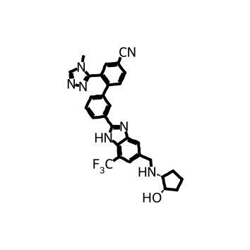 Cn1cnnc1-c1cc(C#N)ccc1-c1cccc(-c2nc3cc(CN[C@@H]4CCC[C@@H]4O)cc(C(F)(F)F)c3[nH]2)c1